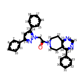 O=C(Cn1nc(-c2ccccc2)cc1-c1ccccc1)N1CCc2ncnc(-c3ccccc3)c2CC1